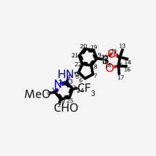 COc1nc(N[C@H]2CCc3c(B4OC(C)(C)C(C)(C)O4)cccc32)c(C(F)(F)F)cc1C=O